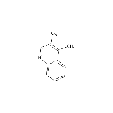 Cc1c(C(F)(F)F)cnc2ccccc12